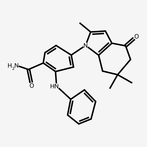 Cc1cc2c(n1-c1ccc(C(N)=O)c(Nc3ccccc3)c1)CC(C)(C)CC2=O